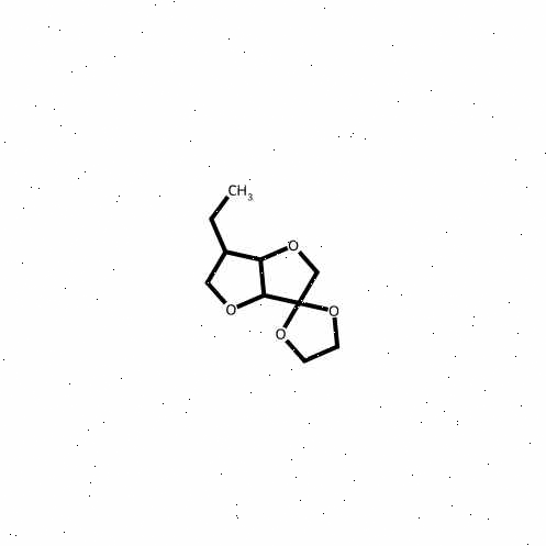 CCC1COC2C1OCC21OCCO1